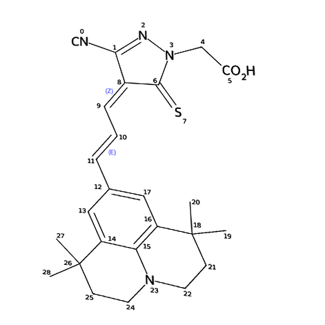 [C-]#[N+]C1=NN(CC(=O)O)C(=S)/C1=C\C=C\c1cc2c3c(c1)C(C)(C)CCN3CCC2(C)C